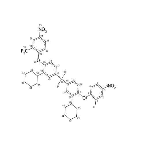 Cc1cc([N+](=O)[O-])ccc1Oc1ccc(C(C)(C)c2ccc(Oc3ccc([N+](=O)[O-])cc3C(F)(F)F)c(C3CCCCC3)c2)cc1C1CCCCC1